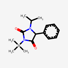 CC(C)N1C(=O)N([Si](C)(C)C)C(=O)C1c1ccccc1